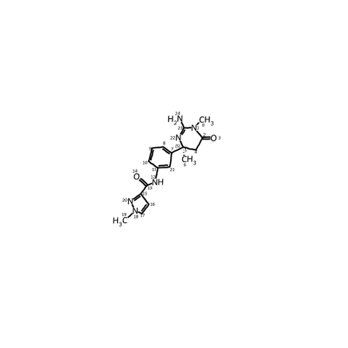 CN1C(=O)C[C@@](C)(c2cccc(NC(=O)c3ccn(C)n3)c2)N=C1N